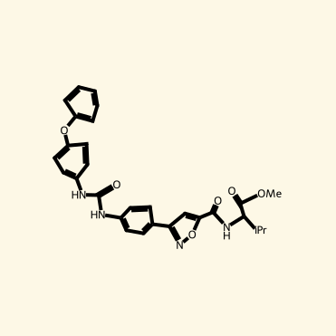 COC(=O)C(NC(=O)c1cc(-c2ccc(NC(=O)Nc3ccc(Oc4ccccc4)cc3)cc2)no1)C(C)C